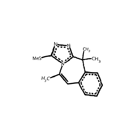 CSc1nnc2n1C(C)=Cc1ccccc1C2(C)C